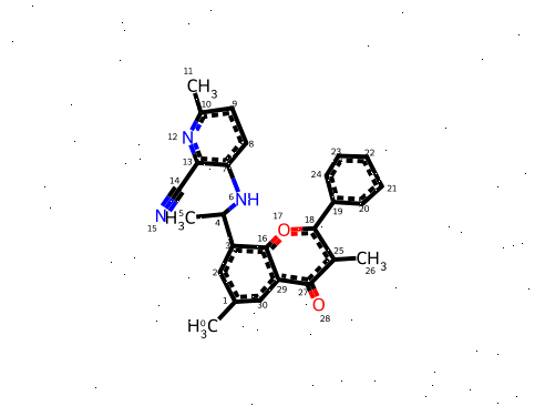 Cc1cc(C(C)Nc2ccc(C)nc2C#N)c2oc(-c3ccccc3)c(C)c(=O)c2c1